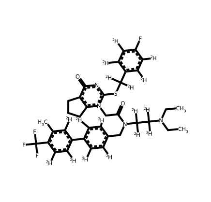 [2H]c1c([2H])c(C([2H])([2H])Sc2nc(=O)c3c(n2CC(=O)N(Cc2c([2H])c([2H])c(-c4c([2H])c([2H])c(C(F)(F)F)c(C)c4[2H])c([2H])c2[2H])C([2H])([2H])C([2H])([2H])N(CC)CC)CCC3)c([2H])c([2H])c1F